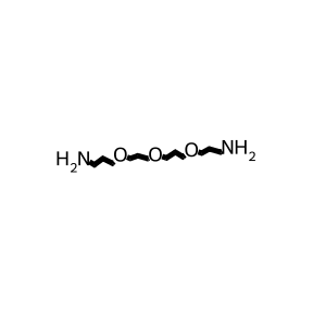 NCCCOCCCOCCCOCCCN